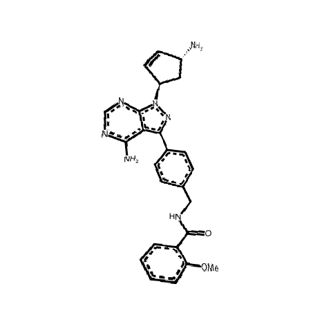 COc1ccccc1C(=O)NCc1ccc(-c2nn([C@H]3C=C[C@H](N)C3)c3ncnc(N)c23)cc1